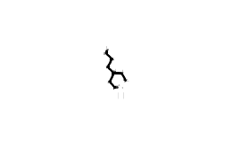 [O]CCCC1CCNCC1